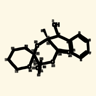 C[C@@]1(C(O)c2ccccc2)O[C@]2(CCCCO2)[C@@]2(CCCCO2)OC1=O